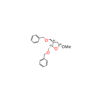 CO[C@H]1C[C@H](COCc2ccccc2)[C@@H](COCc2ccccc2)O1